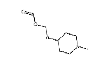 CN1CCC(OCOC=O)CC1